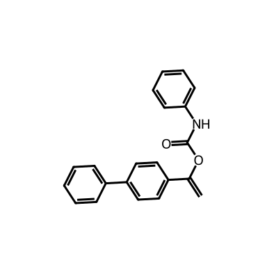 C=C(OC(=O)Nc1ccccc1)c1ccc(-c2ccccc2)cc1